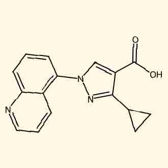 O=C(O)c1cn(-c2cccc3ncccc23)nc1C1CC1